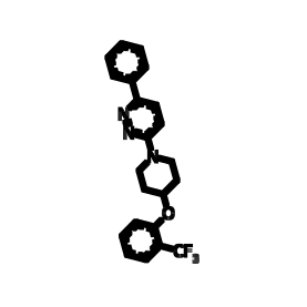 FC(F)(F)c1ccccc1OC1CCN(c2ccc(-c3ccccc3)nn2)CC1